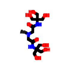 [CH2]C(=O)N(CC(=O)NC(CO)(CO)CO)CC(=O)NC(CO)(CO)CO